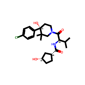 CC(C)[C@@H](NC(=O)[C@@H]1CC[C@H](O)C1)C(=O)N1CC[C@](O)(c2ccc(Cl)cc2)C(C)(C)C1